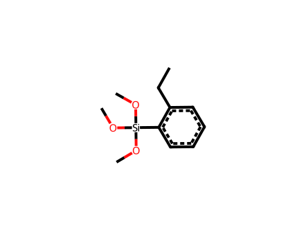 CCc1ccccc1[Si](OC)(OC)OC